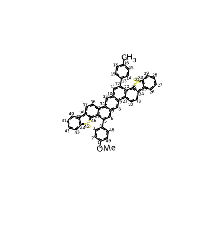 COc1ccc(-c2cc3cc4c(cc(-c5ccc(C)cc5)c5c4ccc4c6ccccc6sc45)cc3c3ccc4c5ccccc5sc4c23)cc1